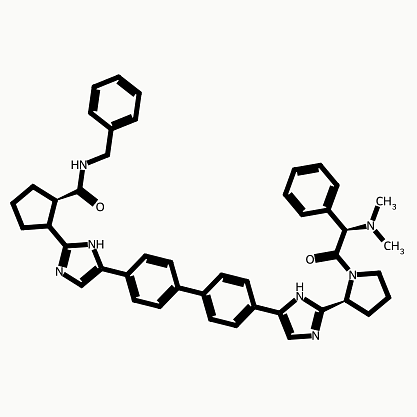 CN(C)[C@@H](C(=O)N1CCC[C@H]1c1ncc(-c2ccc(-c3ccc(-c4cnc(C5CCC[C@H]5C(=O)NCc5ccccc5)[nH]4)cc3)cc2)[nH]1)c1ccccc1